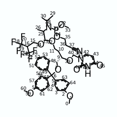 COc1ccc(C(OC[C@H](CCOC(OCC(C(F)(F)F)C(F)(F)F)C(C)N(C(C)C)P(OC)OCCC#N)OCn2ccc(=O)[nH]c2=O)(c2ccccc2)c2ccc(OC)cc2)cc1